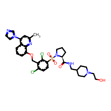 Cc1cc(-n2ccnc2)c2cccc(OCc3c(Cl)ccc(S(=O)(=O)N4CCC[C@H]4C(=O)NCC4CCN(CCO)CC4)c3Cl)c2n1